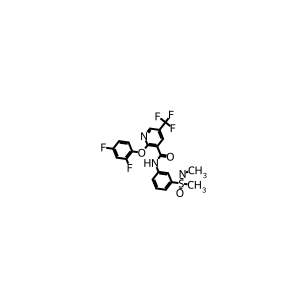 CN=S(C)(=O)c1cccc(NC(=O)c2cc(C(F)(F)F)cnc2Oc2ccc(F)cc2F)c1